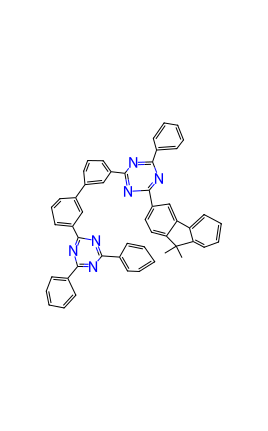 CC1(C)c2ccccc2-c2cc(-c3nc(-c4ccccc4)nc(-c4cccc(-c5cccc(-c6nc(-c7ccccc7)nc(-c7ccccc7)n6)c5)c4)n3)ccc21